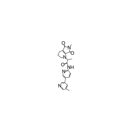 Cc1cncc(-c2ccc(NC(=O)C(C)N3CCCC4=C3C(=O)N(C)C4=O)nc2)c1